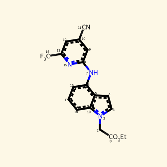 CCOC(=O)Cn1ccc2c(Nc3cc(C#N)cc(C(F)(F)F)n3)cccc21